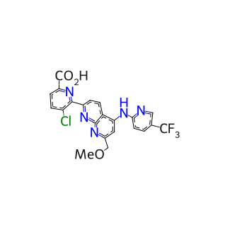 COCc1cc(Nc2ccc(C(F)(F)F)cn2)c2ccc(-c3nc(C(=O)O)ccc3Cl)nc2n1